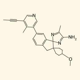 CC#Cc1cncc(-c2ccc3c(c2)C2(N=C(C)C(N)=N2)C2(CCC(OC)CC2)C3)c1C